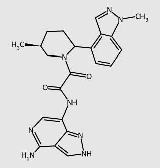 C[C@H]1CCC(c2cccc3c2cnn3C)N(C(=O)C(=O)Nc2cnc(N)c3c[nH]nc23)C1